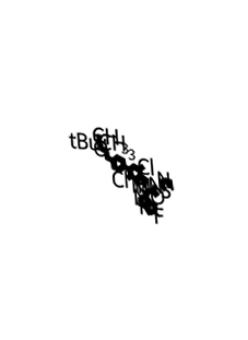 CC(C)(C)[Si](C)(C)OCCc1ccc(-c2cc(Cl)c3cn([C@@H](C(=O)Nc4nccs4)c4ncn5c4C[C@@H](F)C5)nc3c2Cl)cc1